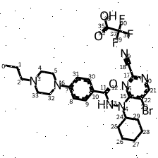 CCCN1CCN(c2ccc(C(=O)NN(c3nc(C#N)ncc3Br)C3CCCCC3)cc2)CC1.O=C(O)C(F)(F)F